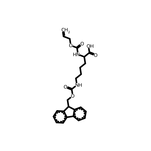 C=CCOC(=O)NC(CCCCNC(=O)OCC1c2ccccc2-c2ccccc21)C(=O)O